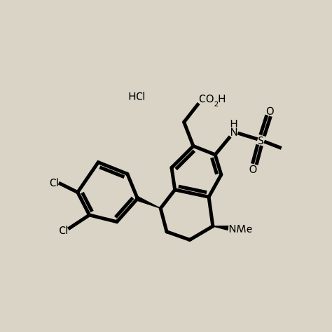 CN[C@H]1CC[C@@H](c2ccc(Cl)c(Cl)c2)c2cc(CC(=O)O)c(NS(C)(=O)=O)cc21.Cl